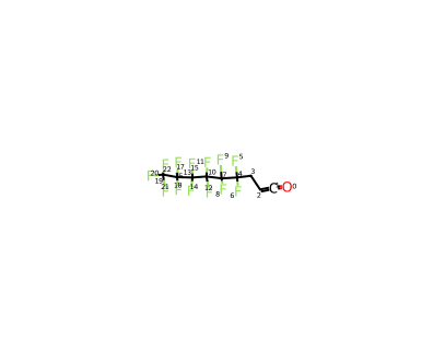 O=C=CCC(F)(F)C(F)(F)C(F)(F)C(F)(F)C(F)(F)C(F)(F)F